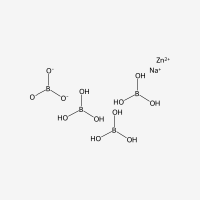 OB(O)O.OB(O)O.OB(O)O.[Na+].[O-]B([O-])[O-].[Zn+2]